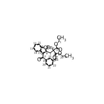 CCOC(=O)C(Br)(Cc1oc2ccccc2c1C(=O)c1cccc(F)c1)C(=O)OCC